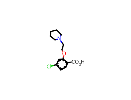 O=C(O)c1ccc(Cl)cc1OCCN1CCCCC1